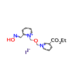 CCOC(=O)c1ccc[n+](COC[n+]2ccccc2C=NO)c1.[I-].[I-]